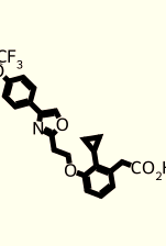 O=C(O)Cc1cccc(OCCc2nc(-c3ccc(OC(F)(F)F)cc3)co2)c1C1CC1